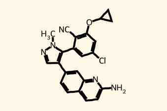 Cn1ncc(-c2ccc3ccc(N)nc3c2)c1-c1cc(Cl)cc(OC2CC2)c1C#N